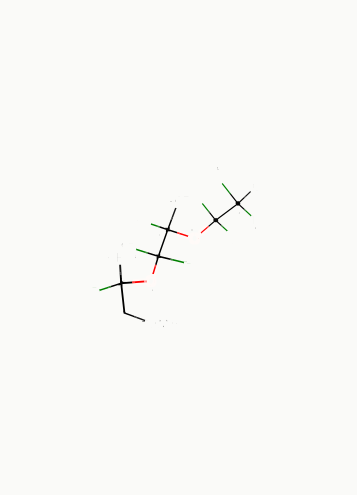 [CH2]OCC(F)(OC(F)(F)C(F)(OC(F)(F)C(F)(F)C(F)(F)F)C(F)(F)F)C(F)(F)F